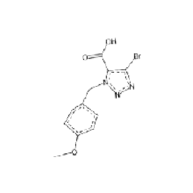 COc1ccc(Cn2nnc(Br)c2C(=O)O)cc1